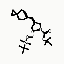 CC(C)(C)OC(=O)N1CC(=CC2=CCC3(CC2)CC3)C[C@H]1CO[Si](C)(C)C(C)(C)C